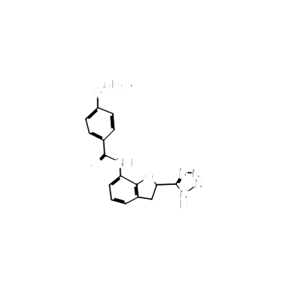 CCCCCCOc1ccc(C(=O)Nc2cccc3c2OC(c2nnn[nH]2)C3)cc1